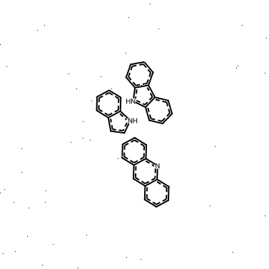 c1ccc2[nH]ccc2c1.c1ccc2c(c1)[nH]c1ccccc12.c1ccc2nc3ccccc3cc2c1